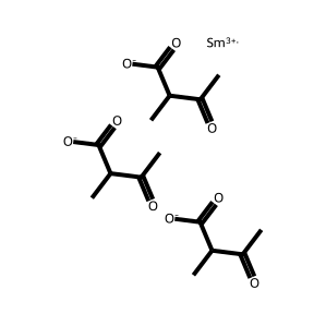 CC(=O)C(C)C(=O)[O-].CC(=O)C(C)C(=O)[O-].CC(=O)C(C)C(=O)[O-].[Sm+3]